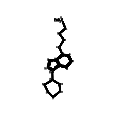 CCOC(=O)CCCOc1cccc2c1cnn2C1CCCCO1